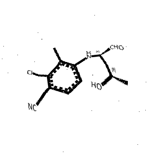 Cc1c(N[C@@H](C=O)[C@@H](C)O)ccc(C#N)c1Cl